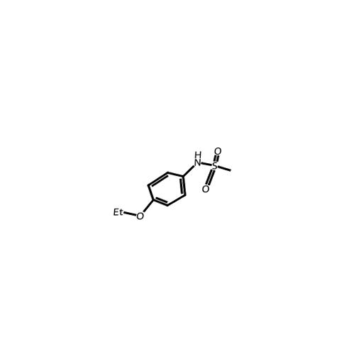 [CH2]COc1ccc(NS(C)(=O)=O)cc1